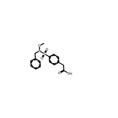 CON(Cc1ccccc1)S(=O)(=O)c1ccc(CC(=O)O)cc1